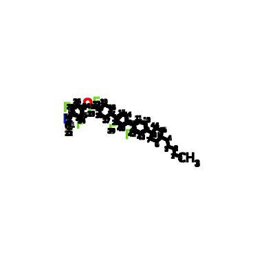 CCCCCC1CCC(c2ccc(-c3ccc(C4CCC(C(F)(F)Oc5cc(F)c(N=C=S)c(F)c5)CC4)c(F)c3)c(F)c2)CC1